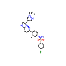 Cn1cc(-c2cnc3ccc(-c4ccc(NS(=O)(=O)c5ccc(F)cc5)cc4)nn23)cn1